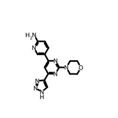 Nc1ccc(-c2cc(-c3c[nH]nn3)nc(N3CCOCC3)n2)cn1